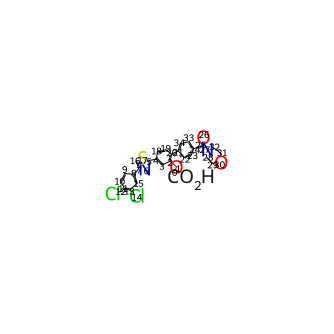 O=C(O)Oc1cc(-c2nc(-c3ccc(Cl)c(Cl)c3)cs2)ccc1-c1ccc(C(=O)N2CCOCC2)cc1